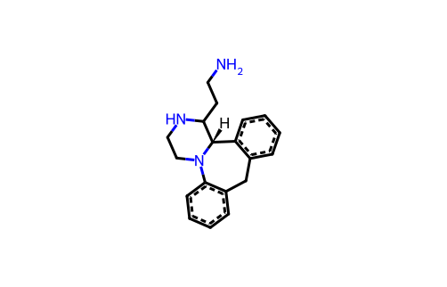 NCCC1NCCN2c3ccccc3Cc3ccccc3[C@@H]12